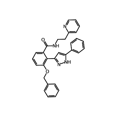 O=C(NCCc1ccccn1)c1cccc(OCc2ccccc2)c1-c1cc(-c2ccccc2)[nH]n1